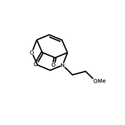 COCCN1CCOC2C=CC1C(=O)C2=O